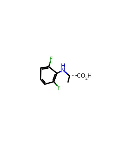 C[C@H](Nc1c(F)cccc1F)C(=O)O